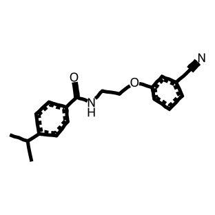 CC(C)c1ccc(C(=O)NCCOc2cccc(C#N)c2)cc1